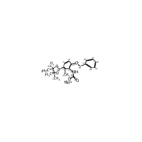 Cc1c(B2OC(C)(C)C(C)(C)O2)ccc(OCc2ccccc2)c1NC(=O)OC(C)(C)C